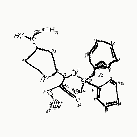 CN(C)[C@H]1CN[C@H](C(O[Si](c2ccccc2)(c2ccccc2)C(C)(C)C)C(=O)OC(C)(C)C)C1